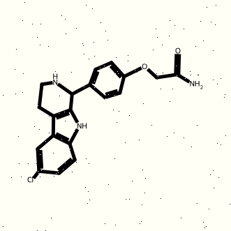 NC(=O)COc1ccc(C2NCCc3c2[nH]c2ccc(Cl)cc32)cc1